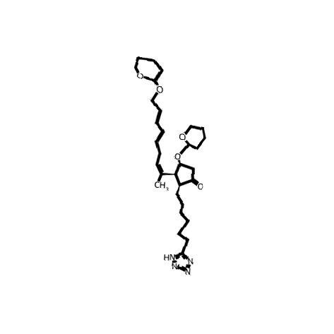 CC(=CCCCCCCOC1CCCCO1)[C@H]1[C@@H](OC2CCCCO2)CC(=O)[C@H]1CCCCCCc1nnn[nH]1